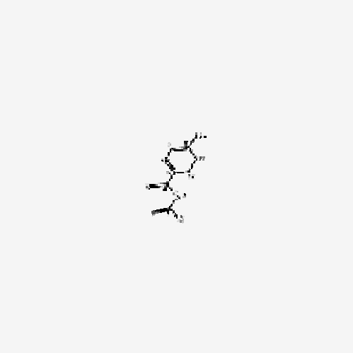 C=C(C)SC(=C)C1=CC=C(C)CC1